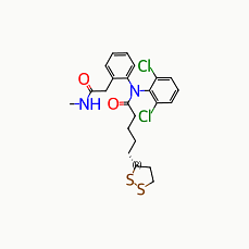 CNC(=O)Cc1ccccc1N(C(=O)CCCC[C@@H]1CCSS1)c1c(Cl)cccc1Cl